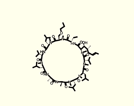 C/C=C/C[C@@H](C)[C@@H](O)[C@H]1C(=O)N[C@@H](CC)C(=O)N(C)[C@H](COCCC)C(=O)N(C)[C@@H](CC(C)C)C(=O)N[C@@H](C(C)C)C(=O)N(C)[C@@H](CC(C)C)C(=O)N[C@@H](C)C(=O)N[C@H](C)C(=O)N(C)[C@@H](CC(C)C)C(=O)N(C)[C@@H](CC(C)C)C(=O)N(C)[C@@H](C(C)C)C(=O)N1C